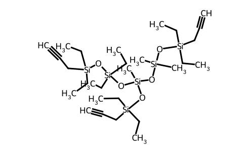 C#CC[Si](CC)(CC)O[Si](C)(C)O[Si](C)(O[Si](CC)(CC)CC#C)O[Si](CC)(CC)O[Si](CC)(CC)CC#C